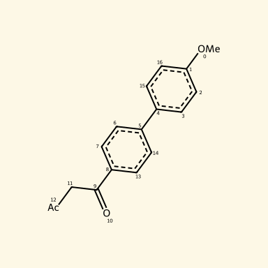 COc1ccc(-c2ccc(C(=O)CC(C)=O)cc2)cc1